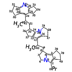 CC(C)c1c2c(c3n1CCC3CC(C)c1c3c(n4c1CCC4)C(CC(C)c1c4c(nc5c1CCC5)CCC4)CC3)CCC2